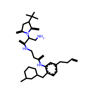 C=CCCc1ccc(CC2CCCC(C)C2)c(NC(=C)CCNC(=C)C(CN)N2C(=C)CC(C(C)(C)C)C2=C)c1